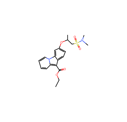 CCOC(=O)c1c2ccc(OC(C)CS(=O)(=O)N(C)C)cc2n2ccccc12